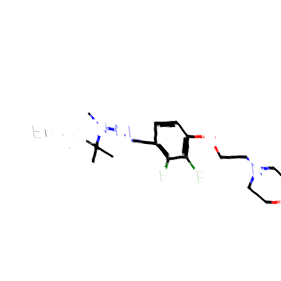 CCOC(=O)C(C)(C)N(C)NCc1ccc(OCCN2CCOCC2)c(F)c1F